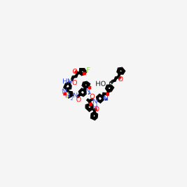 CC(C(=O)NC1CCC(CCc2ccccc2)(N(C)C)CC1)c1cccc(C(=O)c2ccccc2)c1.CN(C)C1(c2ccccc2)CCC(C(N)=O)CC1.CN(C)C1(c2cccs2)CCC(NC(=O)CCC(=O)c2ccc(F)cc2)CC1.O=C(O)CCCC(=O)c1ccccc1